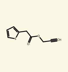 C#CCOC(=O)Cc1cccs1